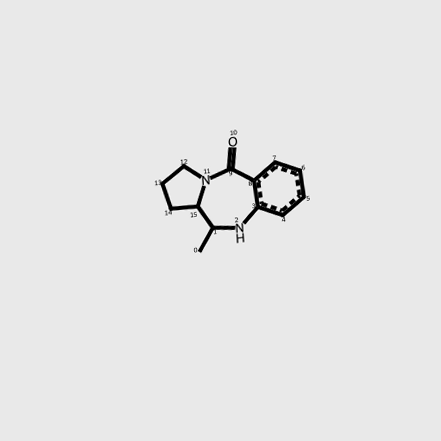 CC1Nc2ccccc2C(=O)N2CCCC12